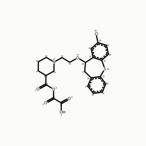 O=C(O)C(=O)OC(=O)C1CCCN(CCOC2Cc3ccccc3Sc3ccc(Cl)cc32)C1